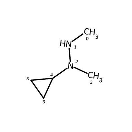 CNN(C)C1CC1